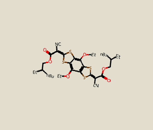 [C-]#[N+]C(C(=O)OCC(CC)CCCC)=C1Sc2c(OCC)c3c(c(OCC)c2S1)SC(=C(C#N)C(=O)OCC(CC)CCCC)S3